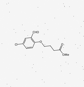 COC(=O)CCCOc1ccc(Cl)cc1C=O